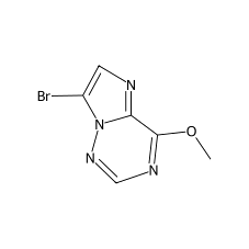 COc1ncnn2c(Br)cnc12